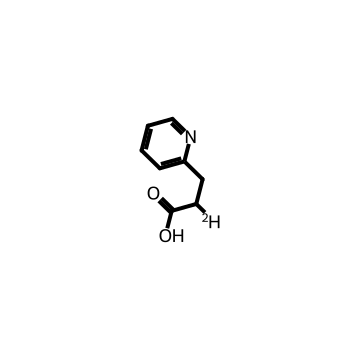 [2H]C(Cc1ccccn1)C(=O)O